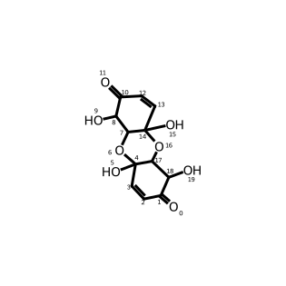 O=C1C=CC2(O)OC3C(O)C(=O)C=CC3(O)OC2C1O